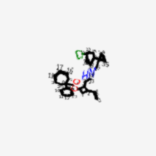 C=CC1C[C@H](OC(=O)C2(c3ccccc3)CCCCCC2)C1CCNCC1(c2ccc(Cl)cc2)CC1